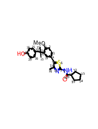 COc1ccc(-c2sc(NC(=O)C3CCCC3)nc2C)cc1C(C)(C)c1ccc(O)cc1